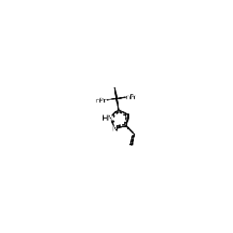 C=Cc1cc(C(C)(CCC)CCC)[nH]n1